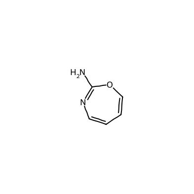 NC1=NC=CC=CO1